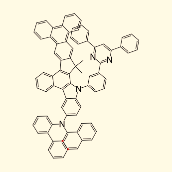 CC1(C)c2cc3c4ccccc4c4ccccc4c3cc2-c2c1c1c(c3ccccc23)c2cc(N(c3ccccc3-c3ccccc3)c3cccc4ccccc34)ccc2n1-c1cccc(-c2nc(-c3ccccc3)cc(-c3ccccc3)n2)c1